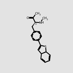 CN[C@@H](Cc1ccc(C2=CC3C=CC=CC3S2)cc1)C(C)=O